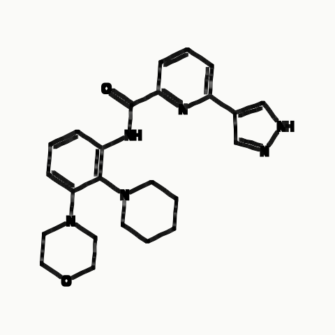 O=C(Nc1cccc(N2CCOCC2)c1N1CCCCC1)c1cccc(-c2cn[nH]c2)n1